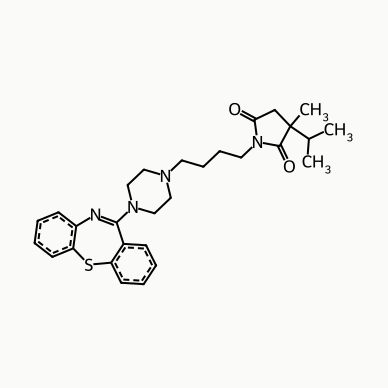 CC(C)C1(C)CC(=O)N(CCCCN2CCN(C3=Nc4ccccc4Sc4ccccc43)CC2)C1=O